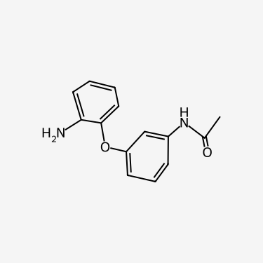 CC(=O)Nc1cccc(Oc2ccccc2N)c1